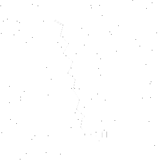 C=CCCCCCCCCCSCC(=O)O